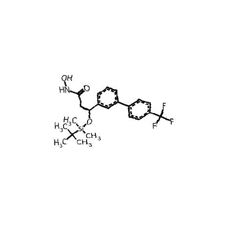 CC(C)(C)[Si](C)(C)OC(CC(=O)NO)c1cccc(-c2ccc(C(F)(F)F)cc2)c1